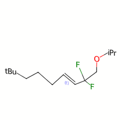 CC(C)OCC(F)(F)/C=C/CCCC(C)(C)C